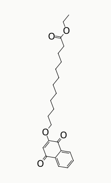 CCOC(=O)CCCCCCCCCCCOC1=CC(=O)c2ccccc2C1=O